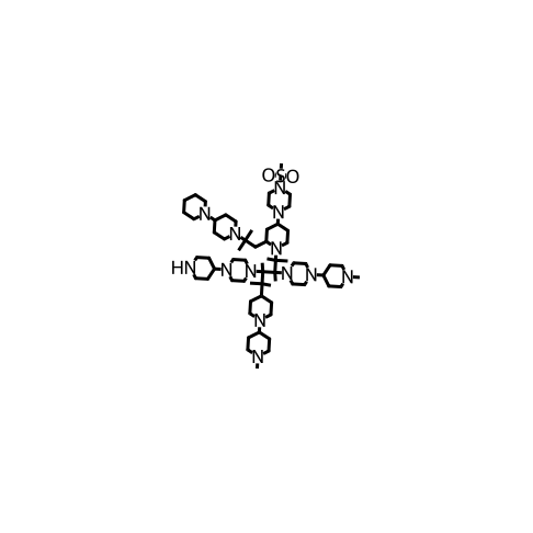 CN1CCC(N2CCC(C(C)(C)C(C)(N3CCN(C4CCNCC4)CC3)C(C)(N3CCN(C4CCN(C)CC4)CC3)C(C)(C)N3CCC(N4CCN(S(C)(=O)=O)CC4)CC3CC(C)(C)N3CCC(N4CCCCC4)CC3)CC2)CC1